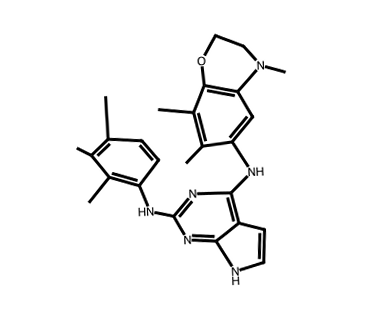 Cc1ccc(Nc2nc(Nc3cc4c(c(C)c3C)OCCN4C)c3cc[nH]c3n2)c(C)c1C